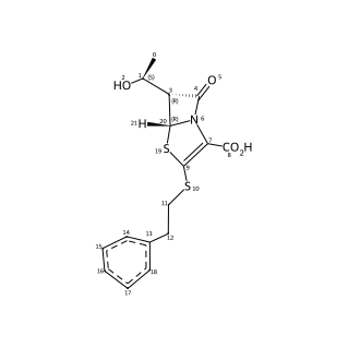 C[C@H](O)[C@@H]1C(=O)N2C(C(=O)O)=C(SCCc3ccccc3)S[C@H]12